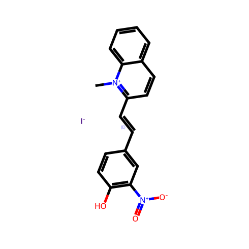 C[n+]1c(/C=C/c2ccc(O)c([N+](=O)[O-])c2)ccc2ccccc21.[I-]